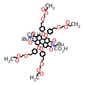 C=CC(=O)OCCOCCc1ccc(Oc2cc3c4c(cc(Oc5ccc(CCOCCOC(=O)C=C)cc5)c5c6c(Oc7ccc(CCOCCOC(=O)C=C)cc7)cc7c8c(cc(Oc9ccc(CCOCCOC(=O)C=C)cc9)c(c2c45)c86)C(=O)N(C(C(=O)O)C(C)CC)C7=O)C(=O)N(C(C(=O)O)C(C)CC)C3=O)cc1